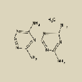 Nc1ncnc(N)n1.Nc1ncnc(N)n1.O